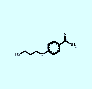 N=C(N)c1ccc(OCCCS)cc1